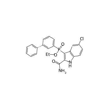 CCOP(=O)(c1cccc(-c2ccccc2)c1)c1c(C(N)=O)[nH]c2ccc(Cl)cc12